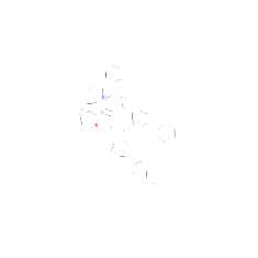 Fc1ccc(-c2ccc(-c3nc(-c4ccccc4)nc(-c4ccccc4)n3)c(-n3c4cc(-c5ccc(C(F)(F)F)cc5C(F)(F)F)ccc4c4ccc(-c5ccc(C(F)(F)F)cc5C(F)(F)F)cc43)c2)c(F)c1